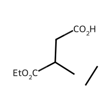 CC.CCOC(=O)C(C)CC(=O)O